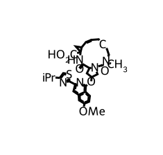 COc1ccc2c(OC3CC4C(=O)NC5(C(=O)O)CC5/C=C\CCCCN(C)C(=O)N4C3)nc(-c3nc(C(C)C)cs3)cc2c1